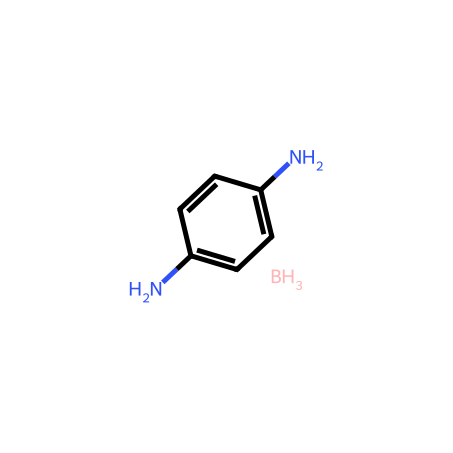 B.Nc1ccc(N)cc1